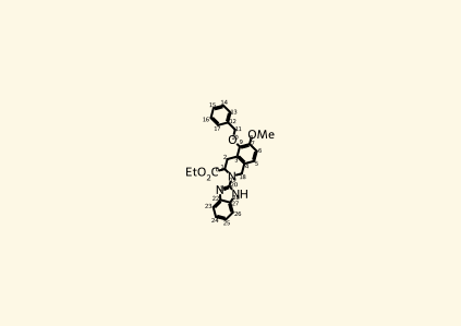 CCOC(=O)C1Cc2c(ccc(OC)c2OCc2ccccc2)CN1c1nc2ccccc2[nH]1